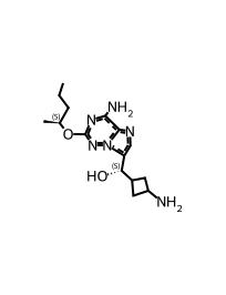 CCC[C@H](C)Oc1nc(N)c2ncc([C@@H](O)C3CC(N)C3)n2n1